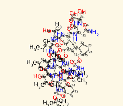 CC[C@H](C)[C@H](NC(=O)[C@@H](CCCN(C(=N)NC(=O)OCc1ccccc1)C(=O)OCc1ccccc1)NC(=O)[C@H](CC(C)C)NC(=O)[C@@H](NC(=O)[C@@H](NC(=O)[C@H](CC(C)(C)C)NC(=O)[C@@H](CC(C)(C)C)NC(=O)OCc1ccccc1)[C@H](NC(=O)OC(C)(C)C)c1ccccc1)[C@H](O)C(C)C)C(=O)N[C@H](C(=O)NCC(=O)N[C@@H](CC(N)=O)C(=O)N[C@@H](CO)C(=O)O)[C@H](C)O